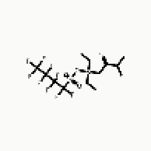 CCS(CC)(CC(=O)C(C)C)OS(=O)(=O)C(F)(F)C(F)(F)C(F)(F)C(F)(F)F